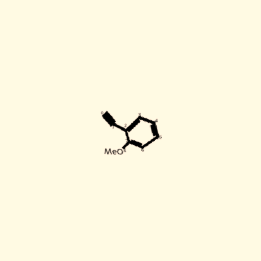 C#Cc1cc[c]cc1OC